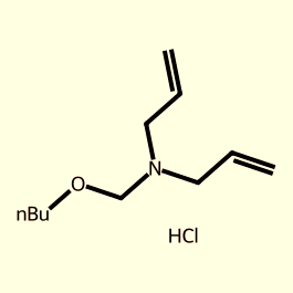 C=CCN(CC=C)COCCCC.Cl